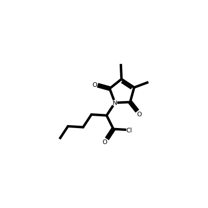 CCCCC(C(=O)Cl)N1C(=O)C(C)=C(C)C1=O